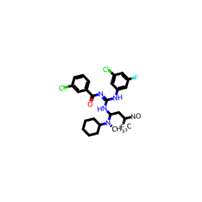 CN(C1CCCCC1)C(CC(N=O)C(F)(F)F)N/C(=N\C(=O)c1cccc(Cl)c1)Nc1cc(F)cc(Cl)c1